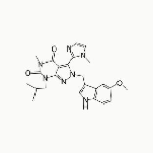 COc1ccc2[nH]cc(Cn3nc4c(c3-c3nccn3C)c(=O)n(C)c(=O)n4CC(C)C)c2c1